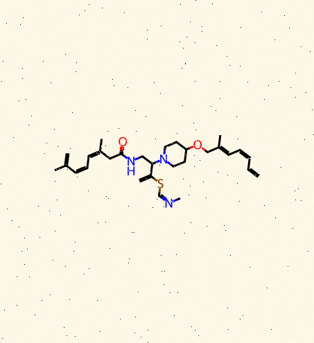 C=C/C=C\C=C(/C)COC1CCN(C(CNC(=O)C/C(C)=C\C=C/C(=C)C)C(=C)S/C=N\C)CC1